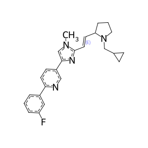 Cn1cc(-c2ccc(-c3cccc(F)c3)nc2)nc1/C=C/C1CCCN1CC1CC1